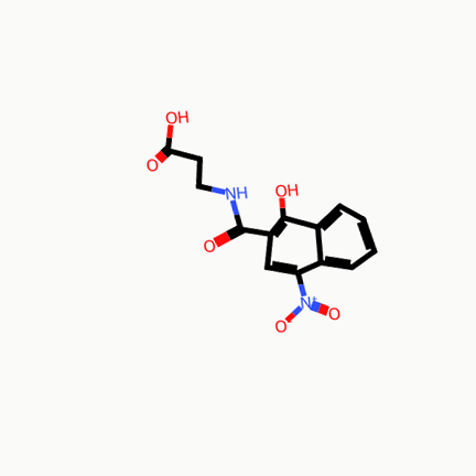 O=C(O)CCNC(=O)c1cc([N+](=O)[O-])c2ccccc2c1O